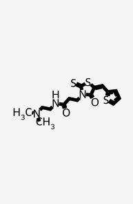 CN(C)CCNC(=O)CCN1C(=O)/C(=C\c2cccs2)SC1=S